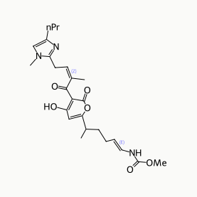 CCCc1cn(C)c(C/C=C(/C)C(=O)c2c(O)cc(C(C)CC/C=C/NC(=O)OC)oc2=O)n1